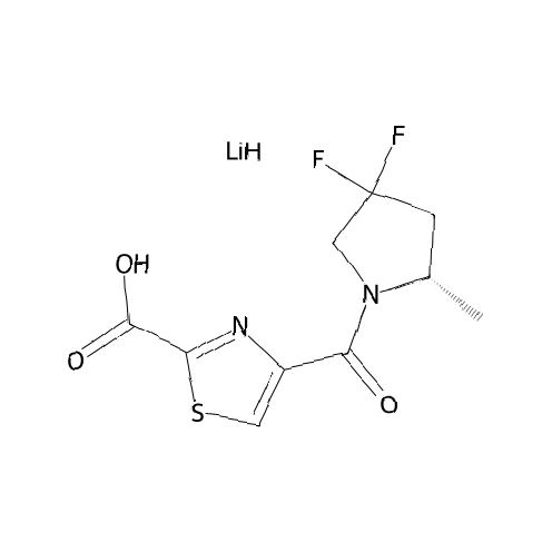 C[C@H]1CC(F)(F)CN1C(=O)c1csc(C(=O)O)n1.[LiH]